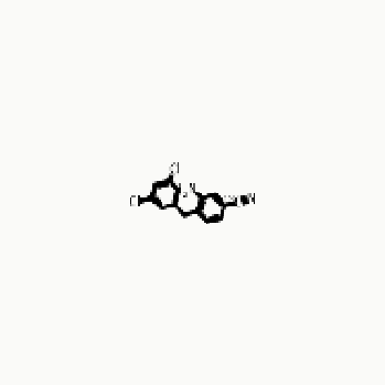 N#[13C]c1ccc(Cc2cc(Cl)cc(Cl)c2)c(N)c1